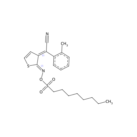 CCCCCCCCS(=O)(=O)O/N=C1\SC=C\C1=C(/C#N)c1ccccc1C